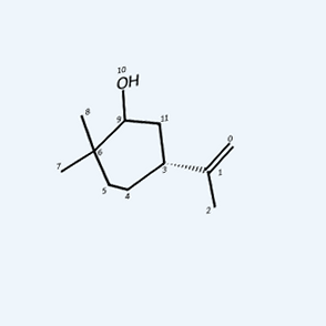 C=C(C)[C@@H]1CCC(C)(C)C(O)C1